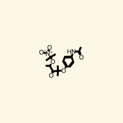 CC(=O)Nc1ccc(OC(C)(C)C(=O)C(C)OC(C)(C)[N+](=O)[O-])cc1